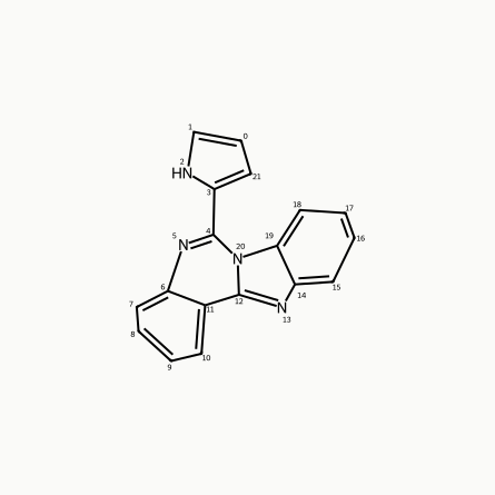 c1c[nH]c(-c2nc3ccccc3c3nc4ccccc4n23)c1